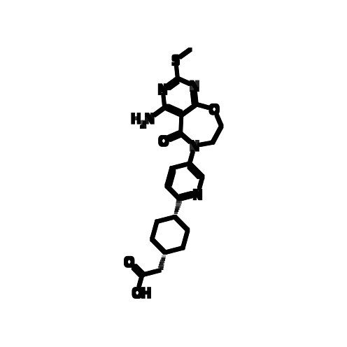 CSc1nc(N)c2c(n1)OCCN(c1ccc([C@H]3CC[C@@H](CC(=O)O)CC3)nc1)C2=O